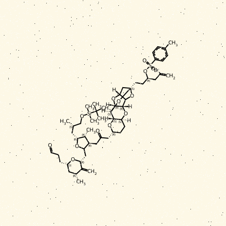 C=C(Br)C[C@@H](CC[C@@]12C[C@H]3O[C@H]4[C@@H](O1)[C@H]1O[C@@H](CC(=O)C[C@H]5C(C[C@H]6O[C@@H](CCC=O)C[C@@H](C)C6=C)O[C@H](C[C@H](C)CO[Si](C)(C)C(C)(C)C)[C@@H]5C)CC[C@@H]1O[C@H]4C3O2)OS(=O)(=O)c1ccc(C)cc1